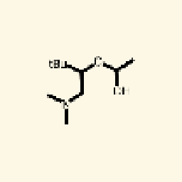 CC(O)OC(CN(C)C)C(C)(C)C